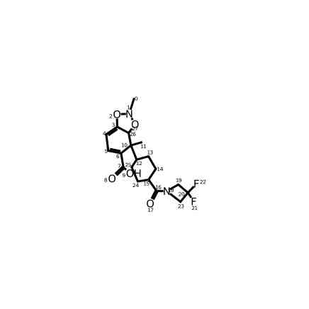 CN1OC2=CC=C(C(=O)O)C(C)(C3CCC(C(=O)N4CC(F)(F)C4)CC3)C2O1